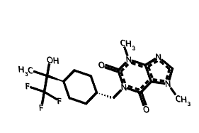 Cn1cnc2c1c(=O)n(C[C@H]1CC[C@H](C(C)(O)C(F)(F)F)CC1)c(=O)n2C